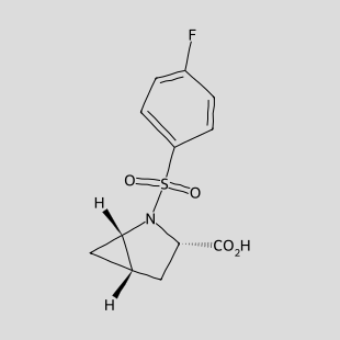 O=C(O)[C@@H]1C[C@@H]2C[C@@H]2N1S(=O)(=O)c1ccc(F)cc1